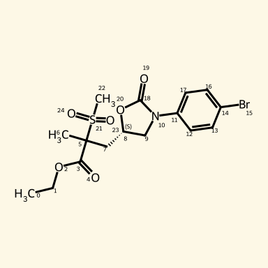 CCOC(=O)C(C)(C[C@H]1CN(c2ccc(Br)cc2)C(=O)O1)S(C)(=O)=O